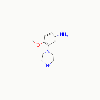 COc1ccc(N)cc1N1CC[N]CC1